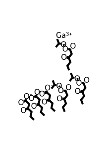 CCCC(=O)CC(=O)OOC(C)C.CCCC(=O)CC(=O)OOC(C)C.CCCC(=O)CC(=O)OOC(C)C.CCCC(=O)CC(=O)[O-].CCCC(=O)CC(=O)[O-].CCCC(=O)CC(=O)[O-].[Ga+3]